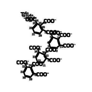 O=C([O-])c1cccc(C(=O)[O-])c1C(=O)[O-].O=C([O-])c1cccc(C(=O)[O-])c1C(=O)[O-].O=C([O-])c1cccc(C(=O)[O-])c1C(=O)[O-].O=C([O-])c1cccc(C(=O)[O-])c1C(=O)[O-].[Ti+4].[Ti+4].[Ti+4]